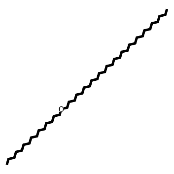 CCCCCCCCCCCCCCCCCCCCCCCCCCCCOCCCCCCCCCCCCCCC